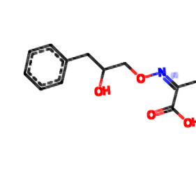 C/C(=N/OCC(O)Cc1ccccc1)C(=O)O